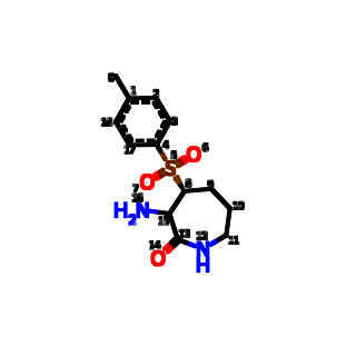 Cc1ccc(S(=O)(=O)[C@H]2CCCNC(=O)C2N)cc1